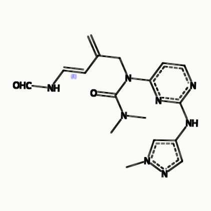 C=C(/C=C/NC=O)CN(C(=O)N(C)C)c1ccnc(Nc2cnn(C)c2)n1